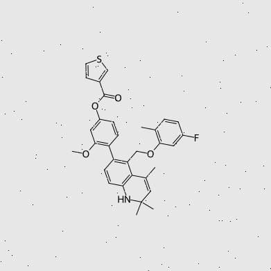 COc1cc(OC(=O)c2ccsc2)ccc1-c1ccc2c(c1COc1cc(F)ccc1C)C(C)=CC(C)(C)N2